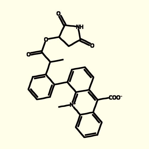 CC(C(=O)OC1CC(=O)NC1=O)c1ccccc1-c1cccc2c(C(=O)[O-])c3ccccc3[n+](C)c12